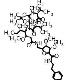 CC[C@H](C)C([C@@H](CC(=O)NCC1OC(C(=O)NCCc2ccccc2)[C@@H](OC)[C@@H]1OC)OC)N(C)C(=O)[C@@H](NC(=O)[C@H](C(C)C)N(C)C(=O)OC(C)(C)C)C(C)C